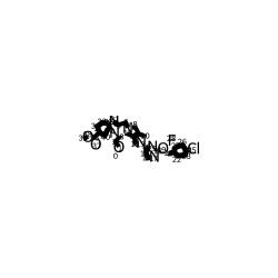 COCCn1c(CN2CC3=C(C2)CN(c2ccnc(OCc4ccc(Cl)cc4F)n2)C3)nc2ccc(C(=O)OC)cc21